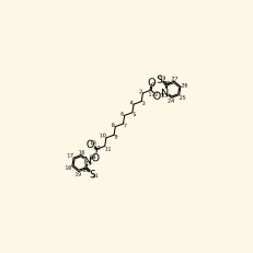 O=C(CCCCCCCCCCC(=O)On1ccccc1=S)On1ccccc1=S